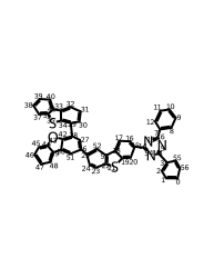 c1ccc(-c2nc(-c3ccccc3)nc(-c3ccc4c(c3)sc3ccc(-c5cc(-c6cccc7c6sc6ccccc67)c6oc7ccccc7c6c5)cc34)n2)cc1